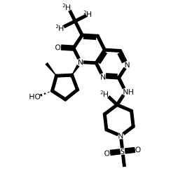 [2H]C1(Nc2ncc3cc(C([2H])([2H])[2H])c(=O)n([C@H]4CC[C@H](O)[C@H]4C)c3n2)CCN(S(C)(=O)=O)CC1